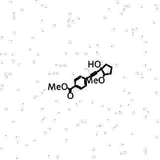 COC(=O)c1ccc(C#CC2(O)CCCC2OC)cc1